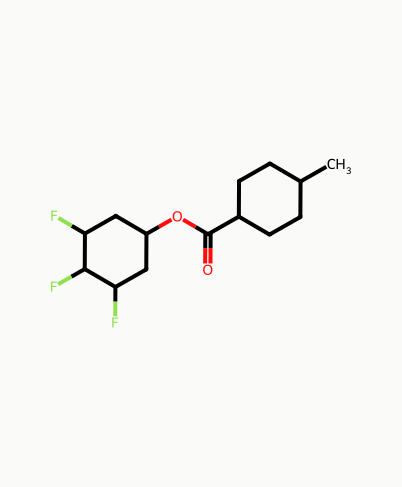 CC1CCC(C(=O)OC2CC(F)C(F)C(F)C2)CC1